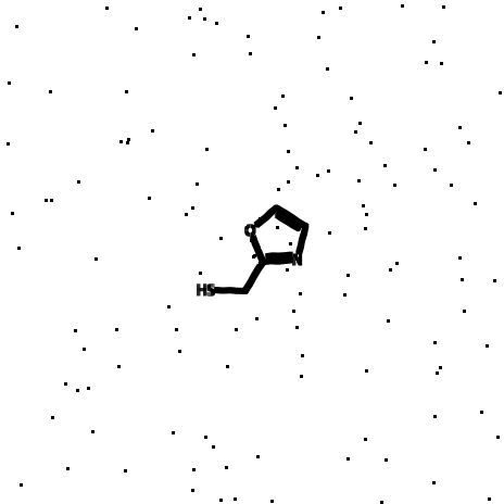 SCc1ncco1